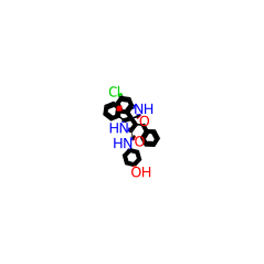 O=C(NC1CCC(O)CC1)[C@@H]1N[C@@H](c2ccccc2)[C@@]2(C(=O)Nc3cc(Cl)ccc32)[C@H]1Cc1ccccc1